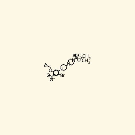 CC(C)(C)OC(=O)N1CCN(C2CCN(c3cc(OCC4CC4)c([N+](=O)[O-])cc3Br)CC2)CC1